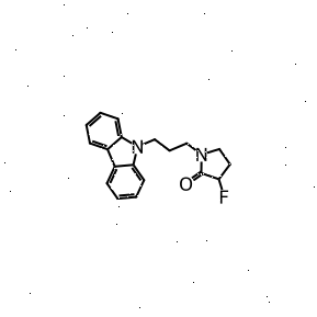 O=C1C(F)CCN1CCCn1c2ccccc2c2ccccc21